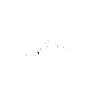 COC(=O)N(C)[C@]1(C)C[C@H](C(=O)N2CCC3(CC2)CC(c2cnc(C(C)(C)C)o2)C3)C1